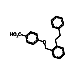 O=C(O)c1ccc(OCc2ccccc2CCc2ccccc2)cc1